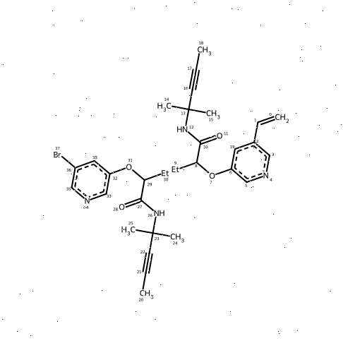 C=Cc1cncc(OC(CC)C(=O)NC(C)(C)C#CC)c1.CC#CC(C)(C)NC(=O)C(CC)Oc1cncc(Br)c1